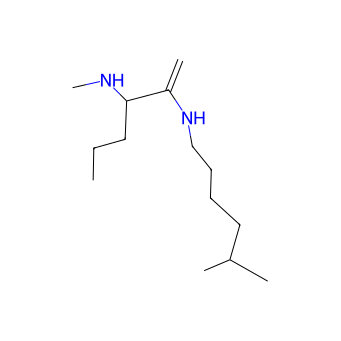 C=C(NCCCCC(C)C)C(CCC)NC